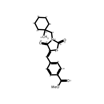 COC(=O)c1ccc(/C=C2\SC(=O)N(CC3(C)CCCCC3)C2=O)cc1